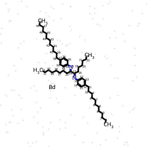 CCCCCCCCCCCCc1ccc(/N=C(CCCCCC)/C(CCCCCCCC)=N/c2ccc(CCCCCCCCCCCC)cc2)cc1.[Pd]